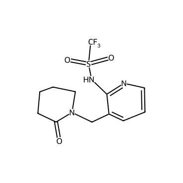 O=C1CCCCN1Cc1cccnc1NS(=O)(=O)C(F)(F)F